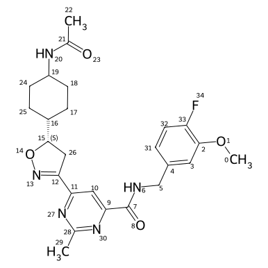 COc1cc(CNC(=O)c2cc(C3=NO[C@H](C4CCC(NC(C)=O)CC4)C3)nc(C)n2)ccc1F